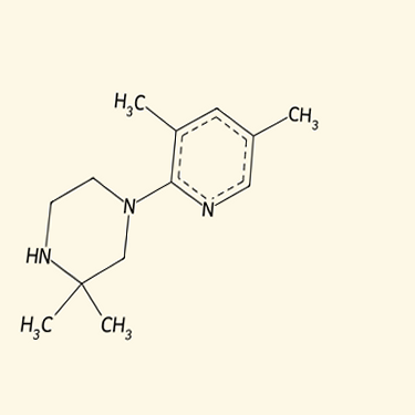 Cc1cnc(N2CCNC(C)(C)C2)c(C)c1